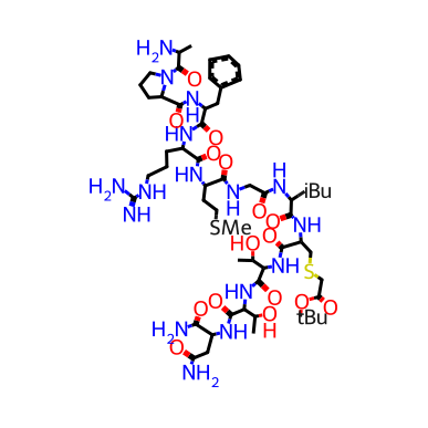 CCC(C)C(NC(=O)CNC(=O)C(CCSC)NC(=O)C(CCCNC(=N)N)NC(=O)C(Cc1ccccc1)NC(=O)C1CCCN1C(=O)C(C)N)C(=O)NC(CSCC(=O)OC(C)(C)C)C(=O)NC(C(=O)NC(C(=O)NC(CC(N)=O)C(N)=O)C(C)O)C(C)O